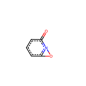 O=c1cccc2n1O2